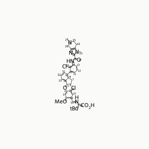 COc1cc(OC2CCc3c(-c4cccc(NC(=O)c5nc6c(n5C)CCN(C)C6)c4Cl)cccc32)c(Cl)cc1CNC(C(=O)O)C(C)(C)C